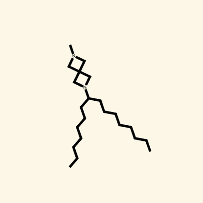 CCCCCCCCC(CCCCCCC)N1CC2(CN(C)C2)C1